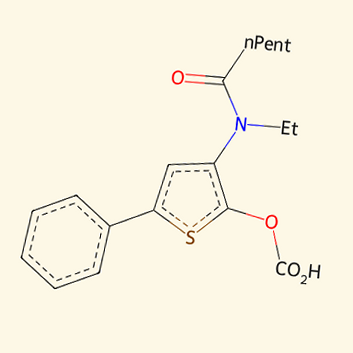 CCCCCC(=O)N(CC)c1cc(-c2ccccc2)sc1OC(=O)O